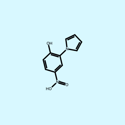 O=[N+](O)c1ccc(O)c(-n2cccc2)c1